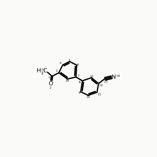 CC(=O)c1cccc(-c2cccc(C#N)c2)c1